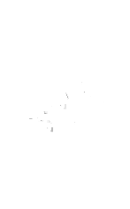 C[C@@H]1NC[C@@H]2C[C@@]21CNC(=O)OC(C)(C)C